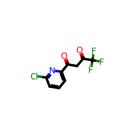 O=C(CC(=O)C(F)(F)F)c1cccc(Cl)n1